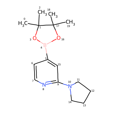 CC1(C)OB(c2ccnc(N3CCCC3)c2)OC1(C)C